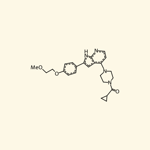 COCCOc1ccc(-c2cc3c(N4CCN(C(=O)C5CC5)CC4)ccnc3[nH]2)cc1